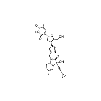 Cc1ccc2c(c1)C(O)(C#CC1CC1)C(=O)N2Cc1cn(C2CC(n3cc(C)c(=O)[nH]c3=O)OC2CO)nn1